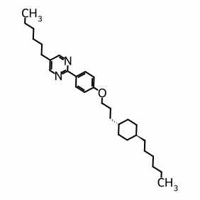 CCCCCCc1cnc(-c2ccc(OCCC[C@H]3CC[C@H](CCCCCC)CC3)cc2)nc1